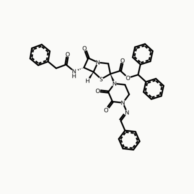 O=C(Cc1ccccc1)N[C@@H]1C(=O)N2C[C@@](C(=O)OC(c3ccccc3)c3ccccc3)(N3CCN(/N=C/c4ccccc4)C(=O)C3=O)S[C@H]12